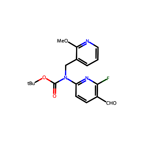 COc1ncccc1CN(C(=O)OC(C)(C)C)c1ccc(C=O)c(F)n1